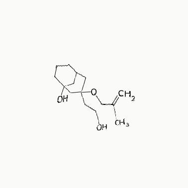 C=C(C)COC1(CCO)CC2CCCC(O)(C2)C1